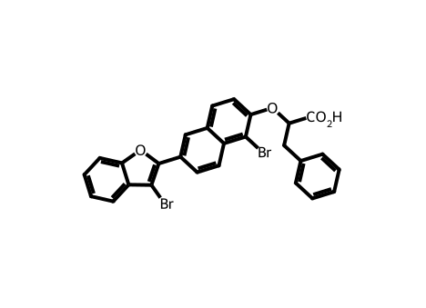 O=C(O)C(Cc1ccccc1)Oc1ccc2cc(-c3oc4ccccc4c3Br)ccc2c1Br